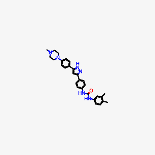 Cc1ccc(NC(=O)Nc2ccc(-c3cc(-c4ccc(N5CCN(C)CC5)cc4)[nH]n3)cc2)cc1C